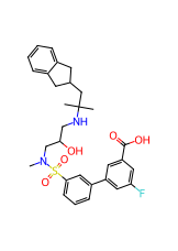 CN(CC(O)CNC(C)(C)CC1Cc2ccccc2C1)S(=O)(=O)c1cccc(-c2cc(F)cc(C(=O)O)c2)c1